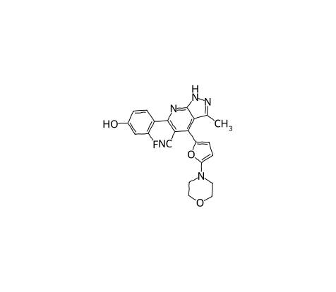 Cc1n[nH]c2nc(-c3ccc(O)cc3F)c(C#N)c(-c3ccc(N4CCOCC4)o3)c12